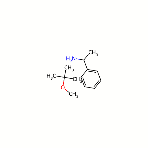 CC(N)c1ccccc1.COC(C)(C)C